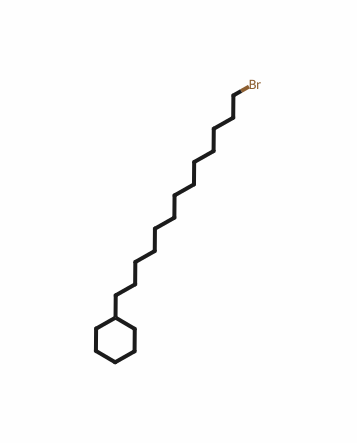 BrCCCCCCCCCCCCCC1CCCCC1